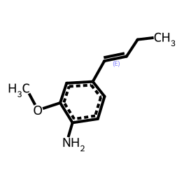 CC/C=C/c1ccc(N)c(OC)c1